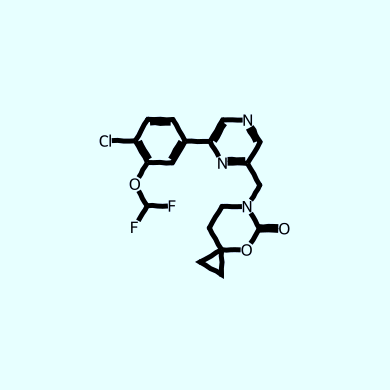 O=C1OC2(CCN1Cc1cncc(-c3ccc(Cl)c(OC(F)F)c3)n1)CC2